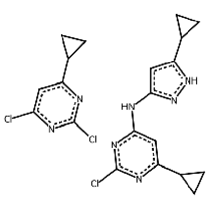 Clc1cc(C2CC2)nc(Cl)n1.Clc1nc(Nc2cc(C3CC3)[nH]n2)cc(C2CC2)n1